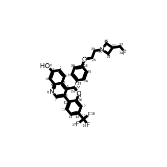 Oc1ccc2c3c(cnc2c1)-c1ccc(C(F)(F)F)cc1O[C@H]3c1ccc(OCCN2CC(CF)C2)cc1